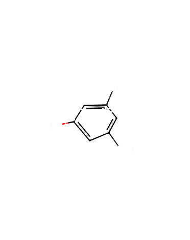 CCOC(=O)c1cc(O)cc(C(F)(F)F)c1